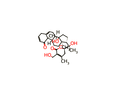 CC1=C(CO)C(=O)O[C@@H]([C@](C)(O)[C@H]2CC[C@@]3(O)[C@@H]4CC=C5CC=CC(=O)[C@]5(C)[C@H]4CC[C@]23C)C1